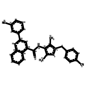 Cc1nn(Cc2ccc(C#N)cc2)c(C)c1NC(=O)c1cc(-c2cncc(C#N)c2)nc2ccccc12